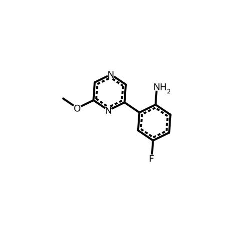 COc1cncc(-c2cc(F)ccc2N)n1